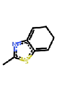 Cc1nc2c(s1)=CCCC=2